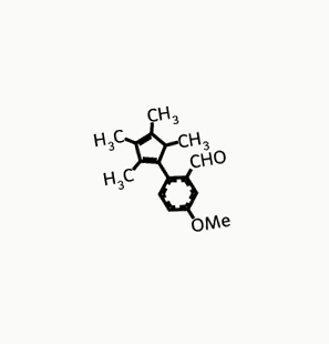 COc1ccc(C2=C(C)C(C)=C(C)C2C)c(C=O)c1